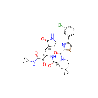 O=C(NC1CC1)C(=O)[C@H](C[C@@H]1CCNC1=O)NC(=O)[C@@H]1CC2(CCN1C(=O)c1nc(-c3cccc(Cl)c3)cs1)CC2